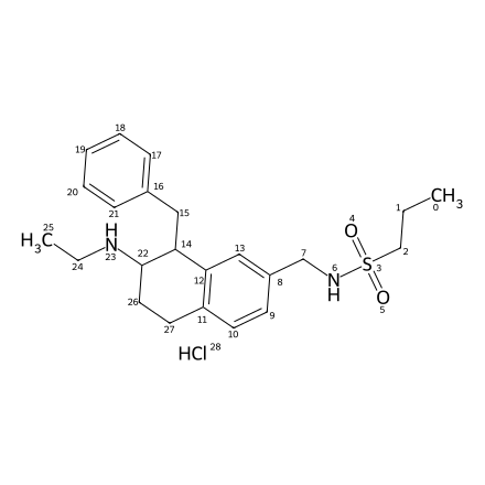 CCCS(=O)(=O)NCc1ccc2c(c1)C(Cc1ccccc1)C(NCC)CC2.Cl